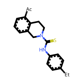 CCc1ccc(NC(=S)N2CCc3c(cccc3C(C)=O)C2)cc1